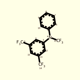 FC(F)(F)c1cc(N(c2ccccc2)C(F)(F)F)cc(C(F)(F)F)c1